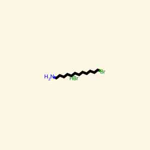 Br.NCCCCCCCCCCCCBr